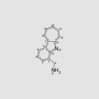 NCc1cccc2c3cccccc-3nc12